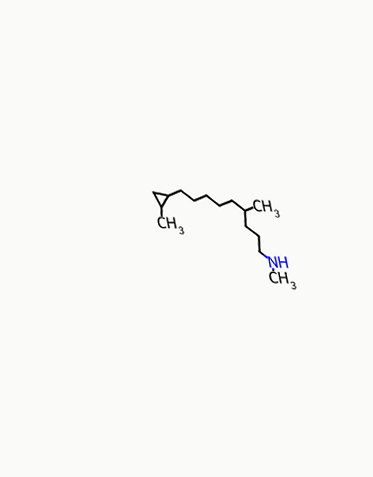 CNCCCC(C)CCCCCC1CC1C